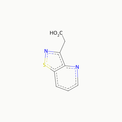 O=C(O)Cc1nsc2cccnc12